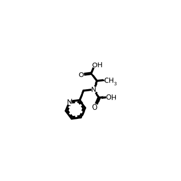 CC(C(=O)O)N(Cc1ccccn1)C(=O)O